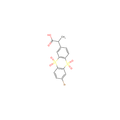 CC(C(=O)O)c1ccc2c(c1)S(=O)(=O)c1ccc(Br)cc1S2(=O)=O